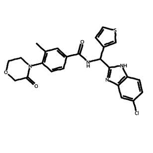 Cc1cc(C(=O)NC(c2ccsc2)c2nc3cc(Cl)ccc3[nH]2)ccc1N1CCOCC1=O